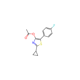 CC(=O)Oc1nc(C2CC2)sc1-c1ccc(F)cc1